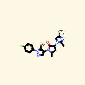 Cc1nc(C(F)(F)F)cn1C1CC(C)N(c2cnn(-c3ccc(F)cc3)c2C(C)C)C1=O